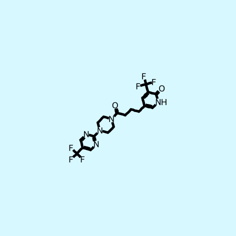 O=C(CCCc1c[nH]c(=O)c(C(F)(F)F)c1)N1CCN(c2ncc(C(F)(F)F)cn2)CC1